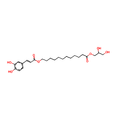 O=C(C=Cc1ccc(O)c(O)c1)OCCCCCCCCCCCC(=O)OCC(O)CO